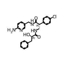 Nc1ccc(CNC(=O)[C@@H](CNC(=O)[C@H](O)Cc2ccccc2)c2ccc(Cl)cc2)cn1